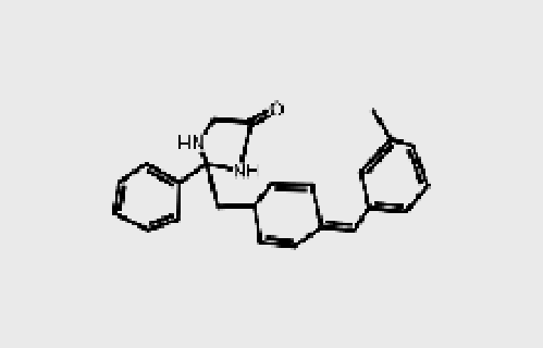 Cc1cccc(C=C2C=CC(CC3(c4ccccc4)NCC(=O)N3)C=C2)c1